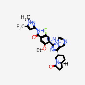 CCOc1cc(C(=O)Nc2cc(C(F)(F)F)n(C)n2)c(F)cc1C1=NC([C@@H]2CC[C@H]3CCC(=O)N3C2)=C2C=NC=C[N+]12N